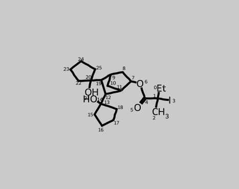 CCC(C)(I)C(=O)OC1CC2CC1C(C1(O)CCCC1)C2C1(O)CCCC1